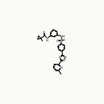 Cc1cccc(-c2nc(-c3ccc(S(=O)(=O)Nc4cccc(NC(=O)C5(C)CC5)c4)cc3)no2)n1